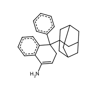 NC1=CCC(c2ccccc2)(C23CC4CC(CC(C4)C2)C3)c2ccccc21